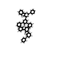 c1ccc(-c2nc(-c3cc(-c4ccccc4)c(-n4c5ccccc5c5c6oc7c(-c8ccccc8)cccc7c6ccc54)c(-c4ccccc4)c3)c3oc4ccccc4c3n2)cc1